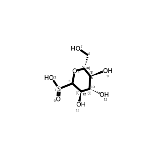 O=S(O)C1O[C@H](CO)[C@@H](O)[C@H](O)[C@H]1O